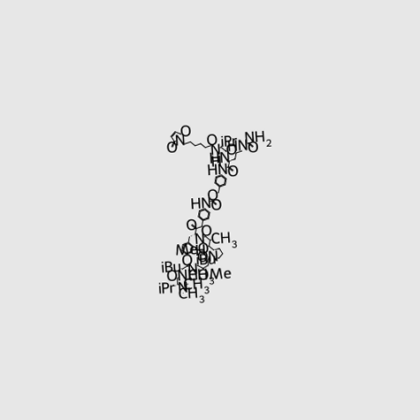 CC[C@@H](C)[C@H]([C@H](CC(=O)N1CCC[C@@H]1[C@@H](OC)[C@H](C)C(=O)N[C@H](Cc1ccccc1)C(=O)Cc1ccc(NC(=O)OCc2ccc(NC(=O)[C@H](CCCNC(N)=O)NC(=O)[C@@H](NC(=O)CCCCCN3C(=O)C=CC3=O)C(C)C)cc2)cc1)OC)N(C)C(=O)[C@H](NC(=O)[C@@H](C(C)C)N(C)C)[C@@H](C)CC